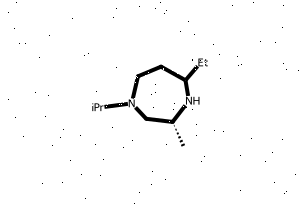 CCC1CCN(C(C)C)C[C@@H](C)N1